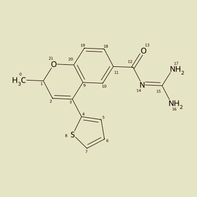 CC1C=C(c2cccs2)c2cc(C(=O)N=C(N)N)ccc2O1